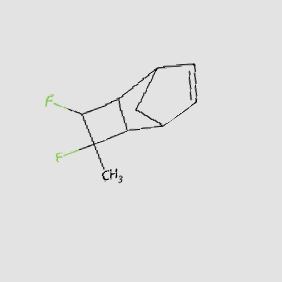 CC1(F)C(F)C2C3C=CC(C3)C21